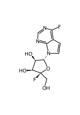 OC[C@@]1(F)O[C@@H](n2ccc3c(F)ncnc32)[C@H](O)[C@@H]1O